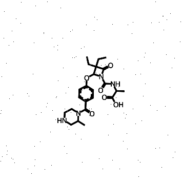 CCC1(CC)C(=O)N(C(=O)NC(C)C(=O)O)C1Oc1ccc(C(=O)N2CCNCC2C)cc1